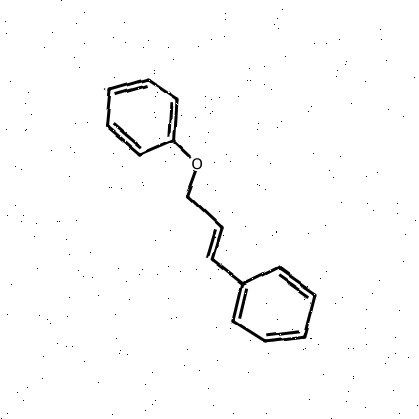 [c]1ccc(OCC=Cc2ccccc2)cc1